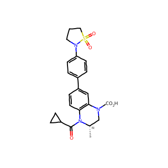 C[C@H]1CN(C(=O)O)c2cc(-c3ccc(N4CCCS4(=O)=O)cc3)ccc2N1C(=O)C1CC1